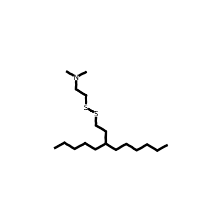 CCCCCCC(CCCCC)CCSSCCN(C)C